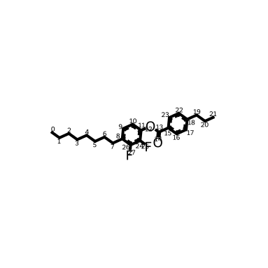 CCCCCCCCc1ccc(OC(=O)c2ccc(CCC)cc2)c(F)c1F